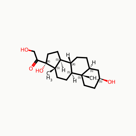 C[C@]12CC[C@H](O)C[C@@H]1CC[C@@H]1[C@@H]2CC[C@@]2(C)[C@H]1CC[C@]2(O)C(=O)CO